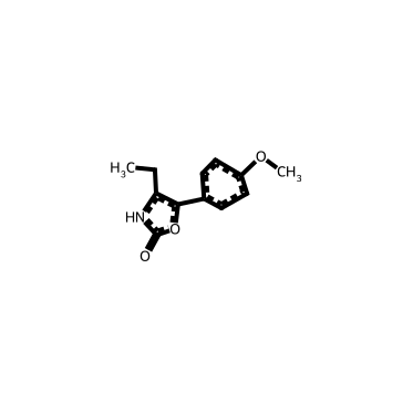 CCc1[nH]c(=O)oc1-c1ccc(OC)cc1